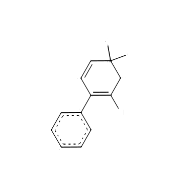 ClC1=C(c2ccccc2)C=CC(Cl)(Cl)C1